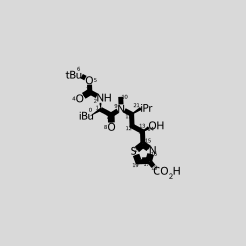 CC[C@H](C)[C@H](NC(=O)OC(C)(C)C)C(=O)N(C)[C@H](C[C@@H](O)c1nc(C(=O)O)cs1)C(C)C